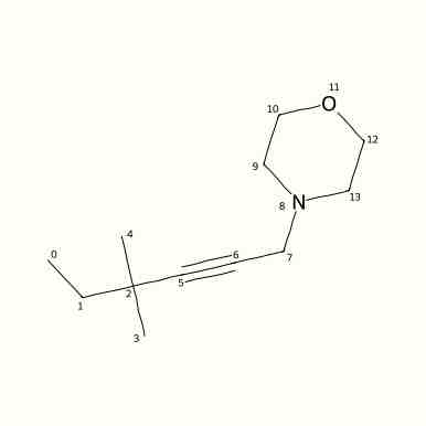 CCC(C)(C)C#CCN1CCOCC1